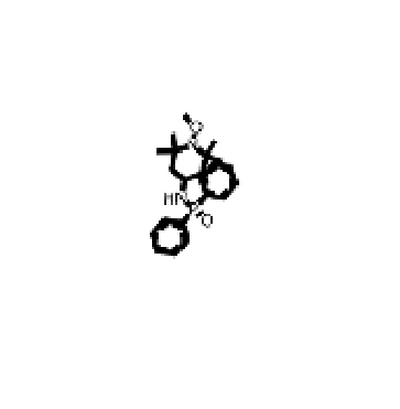 CON1C(C)(C)CC(NP(=O)(c2ccccc2)c2ccccc2)CC1(C)C